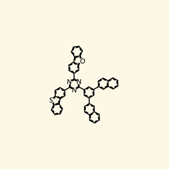 c1ccc2cc(-c3cc(-c4ccc5ccccc5c4)cc(-c4nc(-c5ccc6c(c5)oc5ccccc56)nc(-c5ccc6sc7ccccc7c6c5)n4)c3)ccc2c1